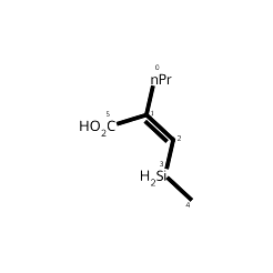 CCCC(=C[SiH2]C)C(=O)O